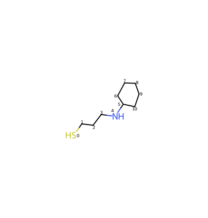 SCCCNC1CCCCC1